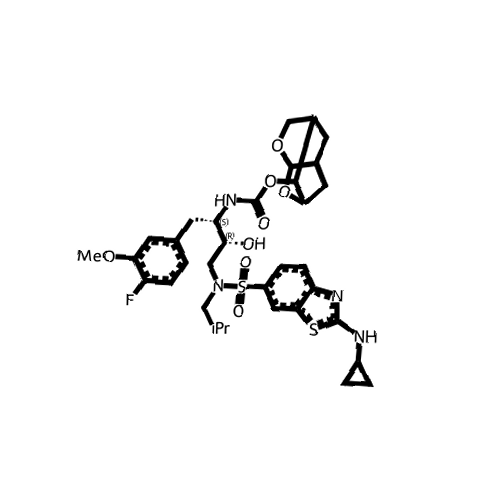 COc1cc(C[C@H](NC(=O)OC2C3COC4OC2CC4C3)[C@H](O)CN(CC(C)C)S(=O)(=O)c2ccc3nc(NC4CC4)sc3c2)ccc1F